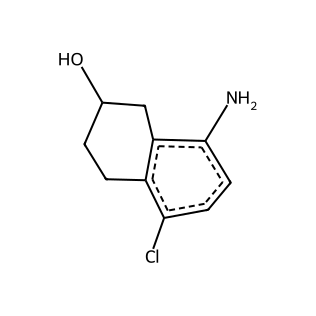 Nc1ccc(Cl)c2c1CC(O)CC2